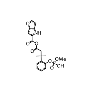 COP(=O)(O)Oc1ccccc1C(C)(C)CC(=O)OC(=O)c1cc2occc2[nH]1